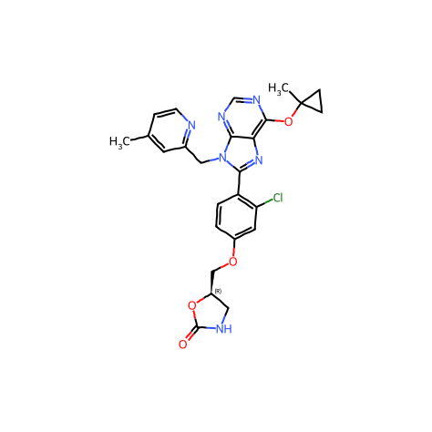 Cc1ccnc(Cn2c(-c3ccc(OC[C@H]4CNC(=O)O4)cc3Cl)nc3c(OC4(C)CC4)ncnc32)c1